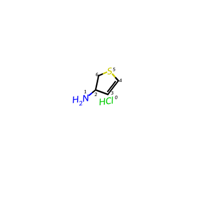 Cl.NC1C=CSC1